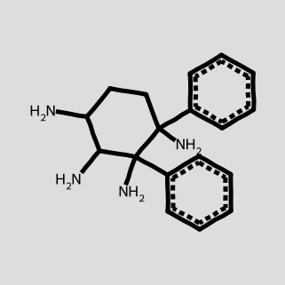 NC1CCC(N)(c2ccccc2)C(N)(c2ccccc2)C1N